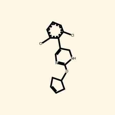 Clc1cccc(Cl)c1C1=CN=C(OC2CC=CC2)NC1